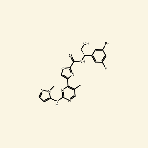 Cc1cnc(Nc2ccnn2C)nc1-c1coc(C(=O)N[C@H](CO)c2cc(F)cc(Br)c2)n1